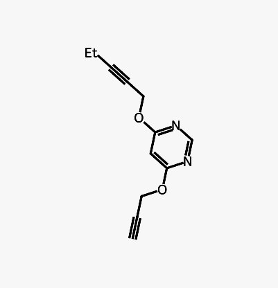 C#CCOc1cc(OCC#CCC)ncn1